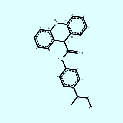 CCC(C)c1ccc(OC(=O)C2c3ccccc3Sc3ccccc32)cc1